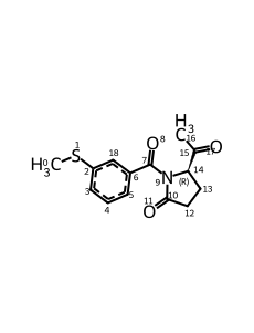 CSc1cccc(C(=O)N2C(=O)CC[C@@H]2C(C)=O)c1